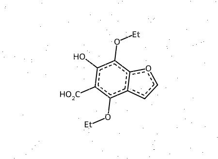 CCOc1c(C(=O)O)c(O)c(OCC)c2occc12